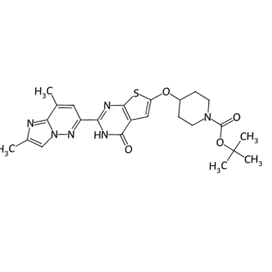 Cc1cn2nc(-c3nc4sc(OC5CCN(C(=O)OC(C)(C)C)CC5)cc4c(=O)[nH]3)cc(C)c2n1